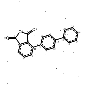 O=C1OC(=O)c2c1cccc2-c1ccc(-c2ccccc2)cc1